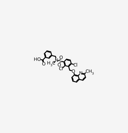 Cc1ccc2cccc(OCc3c(Cl)ccc(S(=O)(=O)N(C)Cc4cccc(C(=O)O)c4)c3Cl)c2n1